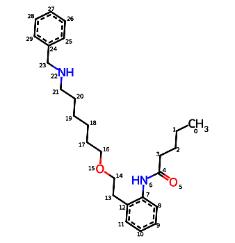 CCCCC(=O)Nc1ccccc1CCOCCCCCCNCc1ccccc1